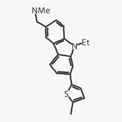 CCn1c2ccc(CNC)cc2c2ccc(-c3ccc(C)s3)cc21